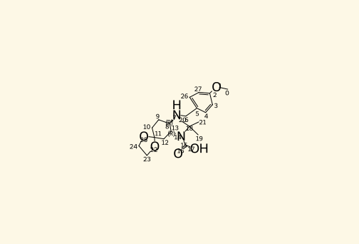 COc1ccc(CN[C@@H]2CCC3(C[C@H]2N(C(=O)O)C(C)(C)C)OCCO3)cc1